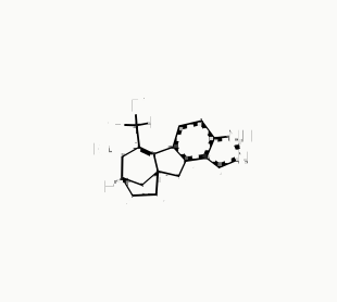 O[C@@H]1C(C(F)(F)F)=C2c3ccc4[nH]ncc4c3CC23CC[C@@H]1C3